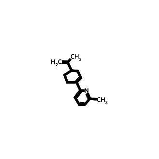 C=C(C)C1CC=C(c2cccc(C)n2)CC1